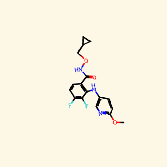 COc1ccc(Nc2c(C(=O)NOCC3CC3)ccc(F)c2F)cn1